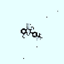 O=C1Nc2cccc(Cl)c2OC1c1ccc(C(F)(F)F)cc1